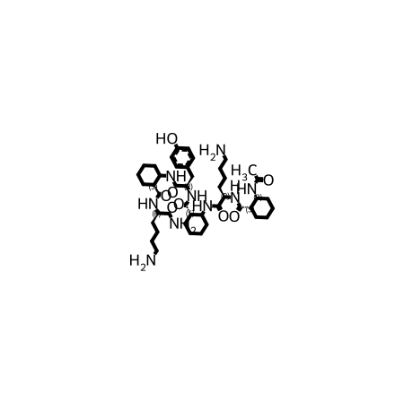 CC(=O)N[C@@H]1CCCC[C@@H]1C(=O)N[C@H](CCCCN)C(=O)NC1CCCC[C@@H]1C(=O)N[C@H](Cc1ccc(O)cc1)C(=O)NC1CCCC[C@@H]1C(=O)N[C@H](CCCCN)C(N)=O